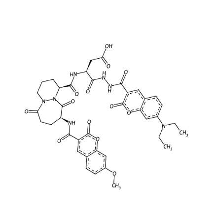 CCN(CC)c1ccc2cc(C(=O)NNC(=O)[C@H](CC(=O)O)NC(=O)[C@@H]3CCCN4C(=O)CC[C@H](NC(=O)c5cc6ccc(OC)cc6oc5=O)C(=O)N34)c(=O)oc2c1